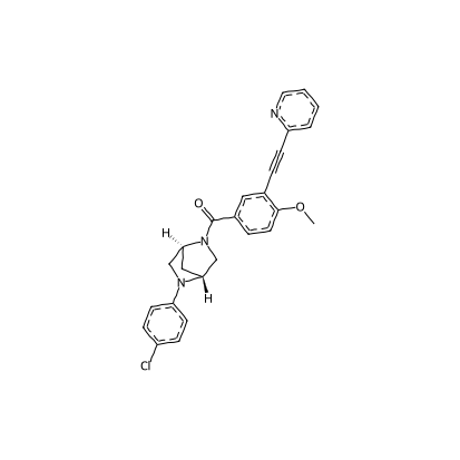 COc1ccc(C(=O)N2C[C@H]3C[C@H]2CN3c2ccc(Cl)cc2)cc1C#Cc1ccccn1